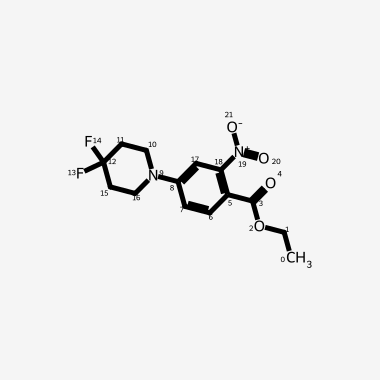 CCOC(=O)c1ccc(N2CCC(F)(F)CC2)cc1[N+](=O)[O-]